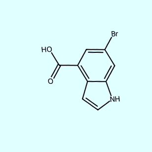 O=C(O)c1cc(Br)cc2[nH]ccc12